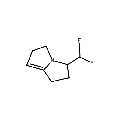 FC(F)C1CCC2=CCCN21